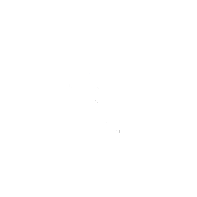 C=C/C=C(\C)C(=O)NCC(=O)NC=O